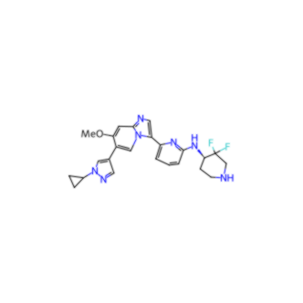 COc1cc2ncc(-c3cccc(N[C@@H]4CCNCC4(F)F)n3)n2cc1-c1cnn(C2CC2)c1